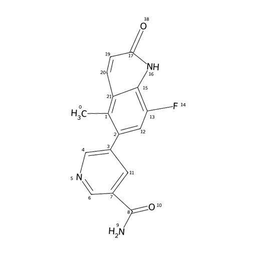 Cc1c(-c2cncc(C(N)=O)c2)cc(F)c2[nH]c(=O)ccc12